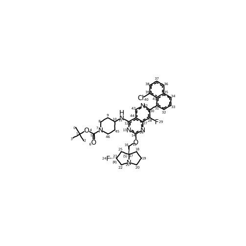 CC(C)(C)OC(=O)N1CCC(Nc2nc(OC[C@@]34CCCN3C[C@H](F)C4)nc3c(F)c(-c4cccc5cccc(Cl)c45)ncc23)CC1